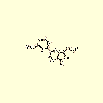 COc1ccnc(-c2cnc3[nH]cc(C(=O)O)c3n2)c1